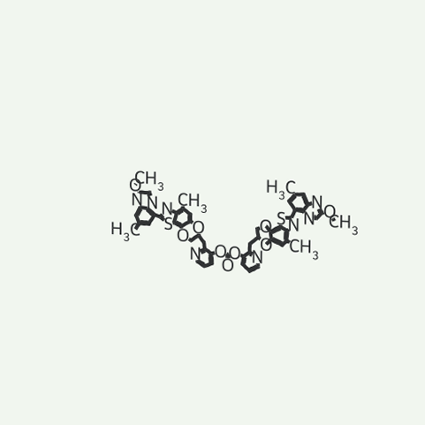 COc1cnc2c(-c3nc4c(C)cc5c(c4s3)OCC(Cc3ncccc3OC(=O)Oc3cccnc3CC3COc4c(cc(C)c6nc(-c7cc(C)cc8nc(OC)cnc78)sc46)O3)O5)cc(C)cc2n1